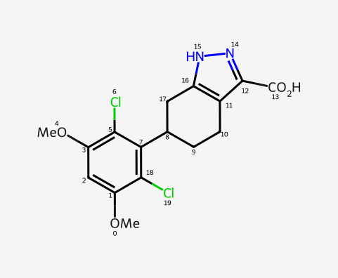 COc1cc(OC)c(Cl)c(C2CCc3c(C(=O)O)n[nH]c3C2)c1Cl